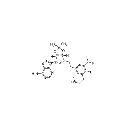 CC1(C)O[C@@H]2[C@H](O1)C(CCc1cc(C(F)F)c(F)c3c1CNCC3)=C[C@H]2n1ccc2c(N)ncnc21